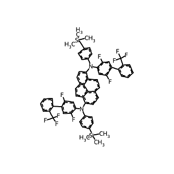 C[Si](C)(C)c1ccc(N(c2cc(F)c(-c3ccccc3C(F)(F)F)cc2F)c2ccc3ccc4c(N(c5ccc([Si](C)(C)C)cc5)c5cc(F)c(-c6ccccc6C(F)(F)F)cc5F)ccc5ccc2c3c54)cc1